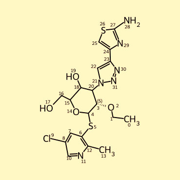 CCO[C@@H]1C(Sc2cc(Cl)cnc2C)OC(CO)C(O)C1n1cc(-c2csc(N)n2)nn1